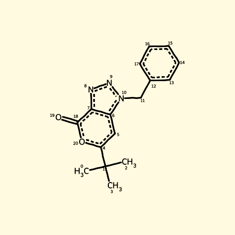 CC(C)(C)c1cc2c(nnn2Cc2ccccc2)c(=O)o1